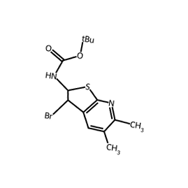 Cc1cc2c(nc1C)SC(NC(=O)OC(C)(C)C)C2Br